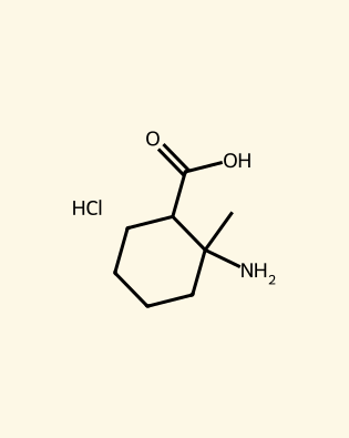 CC1(N)CCCCC1C(=O)O.Cl